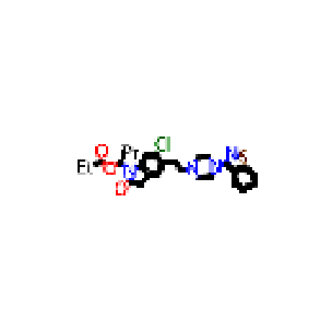 CCC(=O)OC(C(C)C)N1C(=O)Cc2cc(CCN3CCN(c4nsc5ccccc45)CC3)c(Cl)cc21